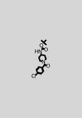 CC(C)(C)OC(=O)NC1CCN(C(=O)c2ccc(Cl)cc2)CC1